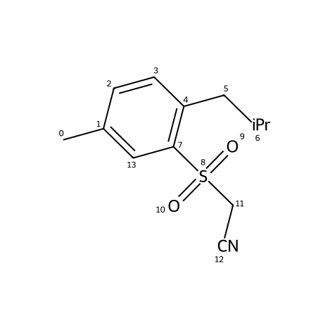 Cc1ccc(CC(C)C)c(S(=O)(=O)CC#N)c1